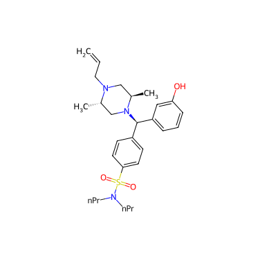 C=CCN1C[C@@H](C)N([C@H](c2ccc(S(=O)(=O)N(CCC)CCC)cc2)c2cccc(O)c2)C[C@@H]1C